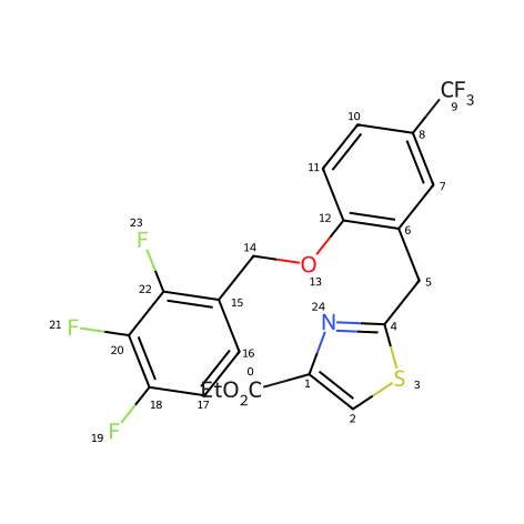 CCOC(=O)c1csc(Cc2cc(C(F)(F)F)ccc2OCc2ccc(F)c(F)c2F)n1